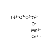 [Ce+3].[Fe+3].[Mn+2].[O-2].[O-2].[O-2].[O-2]